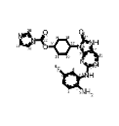 Nc1ccc(F)cc1Nc1ncc2[nH]c(=O)n(C3CCC(OC(=O)n4ccnc4)CC3)c2n1